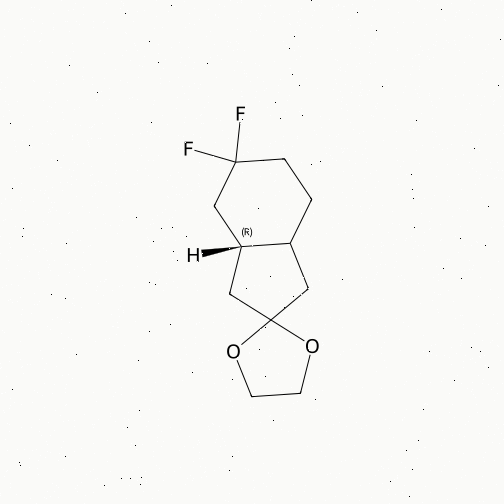 FC1(F)CCC2CC3(C[C@@H]2C1)OCCO3